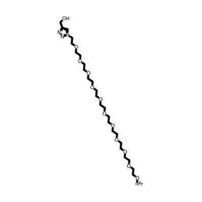 CCCOCCOCCOCCOCCOCCOCCOCCOCCOCCOCCOCCn1cc(CO)nn1